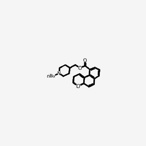 CCCCN1CCC(COC(=O)c2cccc3c2C2=CCCOC2C=C3)CC1